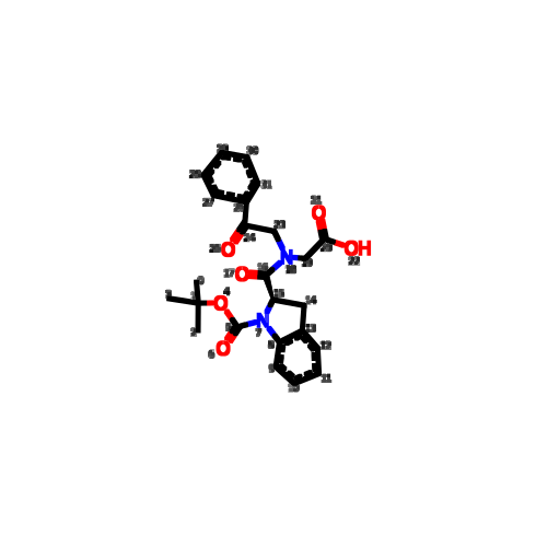 CC(C)(C)OC(=O)N1c2ccccc2C[C@@H]1C(=O)N(CC(=O)O)CC(=O)c1ccccc1